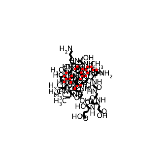 CC(C)C[C@H](NC(=O)[C@H](CCCCN)NC(=O)[C@H](CO)NC(=O)[C@H](CCCCN)NC(=O)[C@H](CC(C)C)NC(=O)[C@@H]1CCCN1)C(=O)NCC(=O)N[C@@H](CC(=O)O)C(=O)N[C@@H](CC(C)C)C(=O)N[C@H](C(=O)N[C@H](C(=O)N[C@H](C(=O)N[C@@H](CO)C(=O)N[C@@H](CC(C)C)C(=O)N1CCC[C@H]1C(=O)NCC(=O)NCC(=O)N[C@@H](CCC(=O)O)C(=O)N[C@@H](CCC(=O)O)C(=O)O)C(C)C)[C@@H](C)O)C(C)C